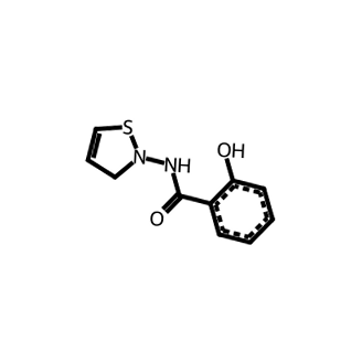 O=C(NN1CC=CS1)c1ccccc1O